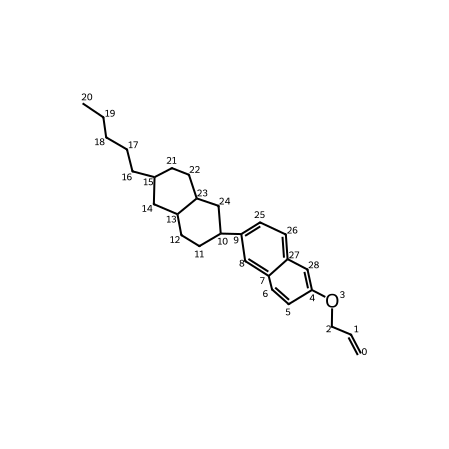 C=CCOc1ccc2cc(C3CCC4CC(CCCCC)CCC4C3)ccc2c1